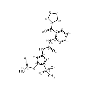 CS(=O)(=O)c1sc(NC(=O)Nc2ccncc2C(=O)C2CCCC2)nc1CC(=O)O